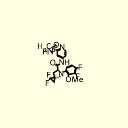 COc1c(N2C[C@]3(CC2C(=O)Nc2ccnc([S@](C)(=N)=O)c2)CC3(F)F)ccc(F)c1F